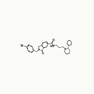 O=C(NCCCN1CCCCC1c1ccccc1)c1ccc2c(c1)C(=O)N(Cc1ccc(Br)cc1)C2